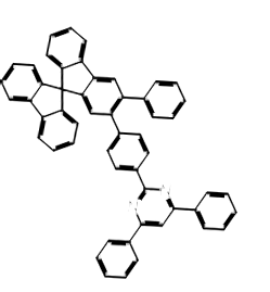 c1ccc(-c2cc(-c3ccccc3)nc(-c3ccc(-c4cc5c(cc4-c4ccccc4)-c4ccccc4C54c5ccccc5-c5ccccc54)cc3)n2)cc1